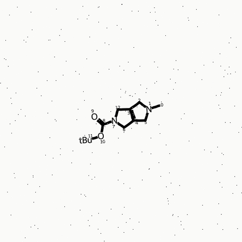 CN1CC2=C(C1)CN(C(=O)OC(C)(C)C)C2